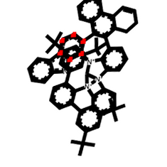 CC(C)(C)c1cc(-c2cccc(-c3cc(C(C)(C)C)cc(C(C)(C)C)c3)c2[N+]23c4ccccc4[N+]24c2cccc5c2[N+]2(c6c(ccc7c8ccccc8n(c67)-c6cccc[n+]62)-c2c-5c5c(c6ccccc26)C=CCC5)C43)cc(C(C)(C)C)c1